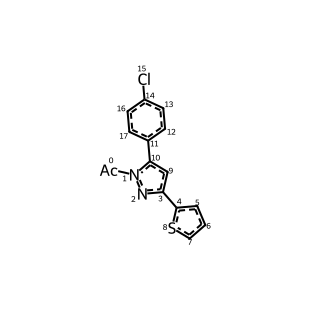 CC(=O)n1nc(-c2cccs2)cc1-c1ccc(Cl)cc1